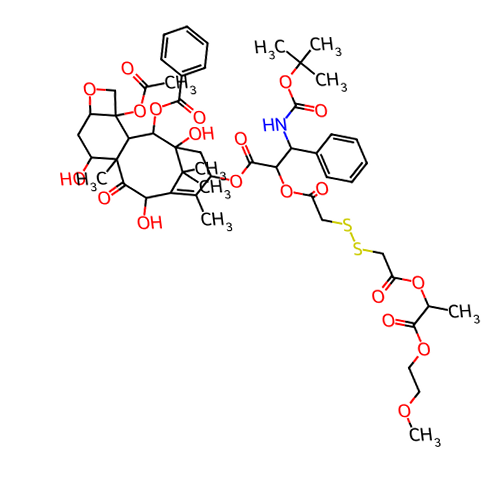 COCCOC(=O)C(C)OC(=O)CSSCC(=O)OC(C(=O)OC1CC2(O)C(OC(=O)c3ccccc3)C3C4(OC(C)=O)COC4CC(O)C3(C)C(=O)C(O)C(=C1C)C2(C)C)C(NC(=O)OC(C)(C)C)c1ccccc1